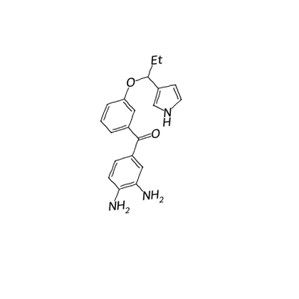 CCC(Oc1cccc(C(=O)c2ccc(N)c(N)c2)c1)c1cc[nH]c1